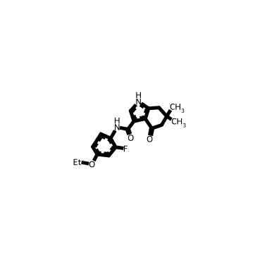 CCOc1ccc(NC(=O)c2c[nH]c3c2C(=O)CC(C)(C)C3)c(F)c1